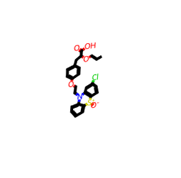 CCCOC(Cc1ccc(OCCN2c3ccccc3[S+]([O-])c3ccc(Cl)cc32)cc1)C(=O)O